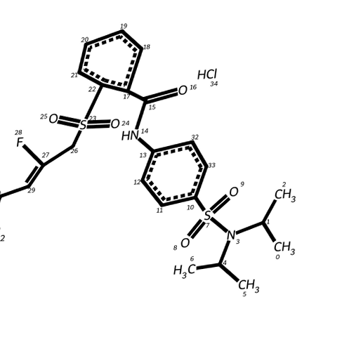 CC(C)N(C(C)C)S(=O)(=O)c1ccc(NC(=O)c2ccccc2S(=O)(=O)C/C(F)=C/CN)cc1.Cl